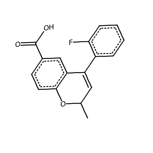 CC1C=C(c2ccccc2F)c2cc(C(=O)O)ccc2O1